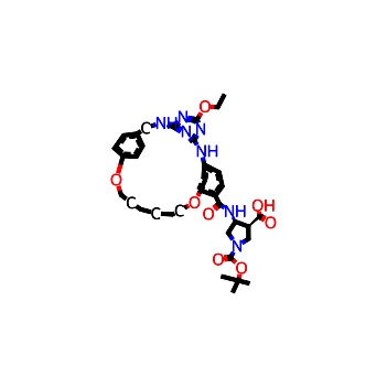 CCOc1nc2nc(n1)Nc1ccc(C(=O)N[C@@H]3CN(C(=O)OC(C)(C)C)C[C@@H]3C(=O)O)c(c1)OCCCCCCOc1ccc(cc1)CN2